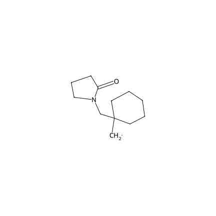 [CH2]C1(CN2CCCC2=O)CCCCC1